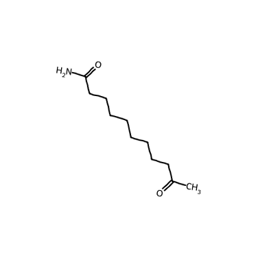 CC(=O)CCCCCCCCC(N)=O